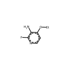 CCOc1ccnc(F)c1N